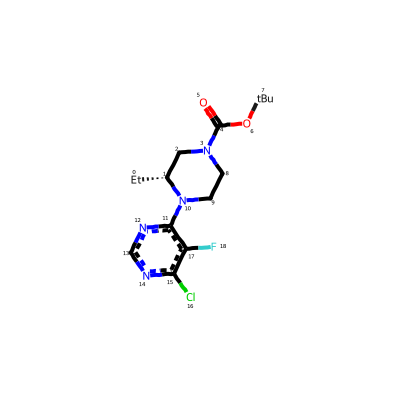 CC[C@@H]1CN(C(=O)OC(C)(C)C)CCN1c1ncnc(Cl)c1F